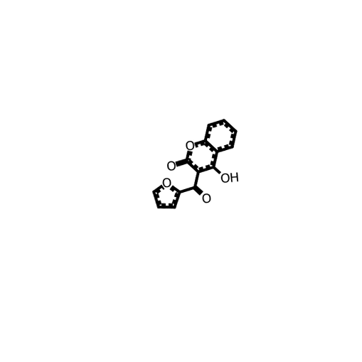 O=C(c1ccco1)c1c(O)c2ccccc2oc1=O